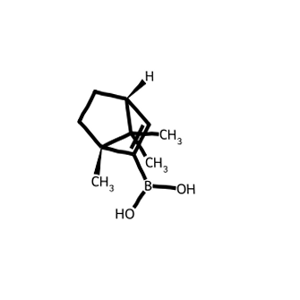 CC1(C)[C@H]2C=C(B(O)O)[C@]1(C)CC2